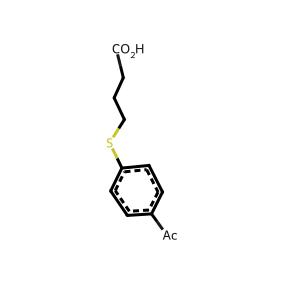 CC(=O)c1ccc(SCCCC(=O)O)cc1